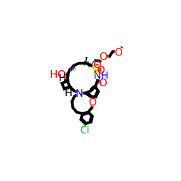 COCCOCC[C@H]1[C@H](C)C/C=C\[C@@H](O)[C@@H]2CC[C@H]2CN2CCCCc3cc(Cl)ccc3COc3ccc(cc32)C(=O)NS1(=O)=O